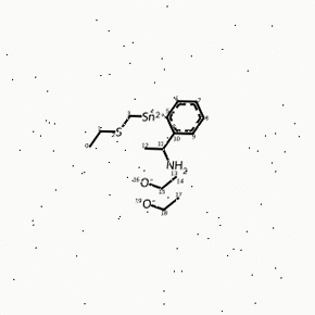 CCS[CH2][Sn+2][c]1ccccc1C(C)N.CC[O-].CC[O-]